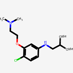 COC(CNc1ccc(Cl)c(OCCN(C)C)c1)OC